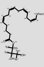 [2H]C([2H])(O)C([2H])(O)C([2H])([2H])OC(=O)CCC/C=C\C/C=C\C/C=C\C/C=C\CCCCC